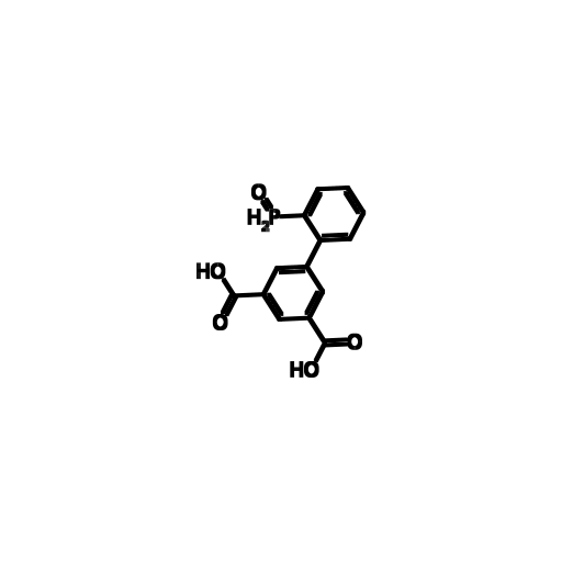 O=[PH2]c1ccccc1-c1cc(C(=O)O)cc(C(=O)O)c1